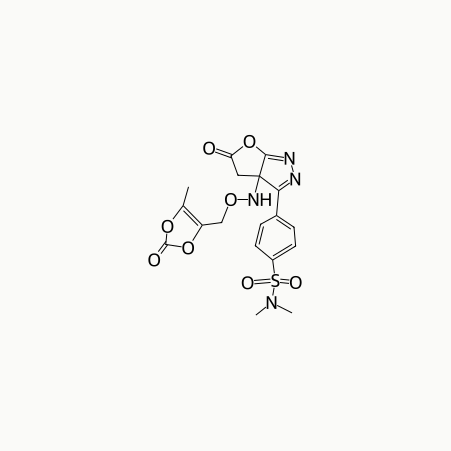 Cc1oc(=O)oc1CONC12CC(=O)OC1=NN=C2c1ccc(S(=O)(=O)N(C)C)cc1